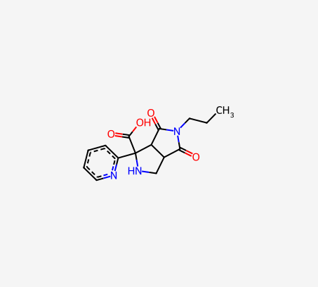 CCCN1C(=O)C2CNC(C(=O)O)(c3ccccn3)C2C1=O